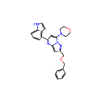 c1ccc(COCc2cc3nc(-c4cccc5[nH]ccc45)cc(N4CCOCC4)n3n2)cc1